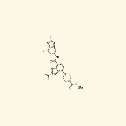 C=C(C)n1cc2c(N3CCN(C(=O)OC(C)(C)C)CC3)ccc(C(=O)Nc3cc(F)c4nc(C)cn4c3)c2n1